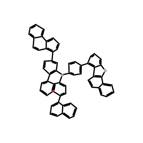 c1ccc(-c2ccc(-c3cccc4c3ccc3ccccc34)cc2N(c2ccc(-c3cccc4ccccc34)cc2)c2ccc(-c3cccc4oc5c6ccccc6ccc5c34)cc2)cc1